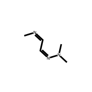 C/N=C\C=N/N(C)C